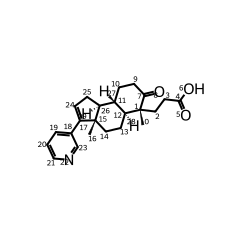 C[C@]1(CCC(=O)O)C(=O)CC[C@@H]2[C@@H]1CC[C@]1(C)C(c3cccnc3)=CC[C@@H]21